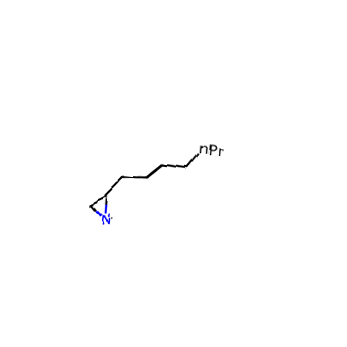 CCCCCCCC1C[N]1